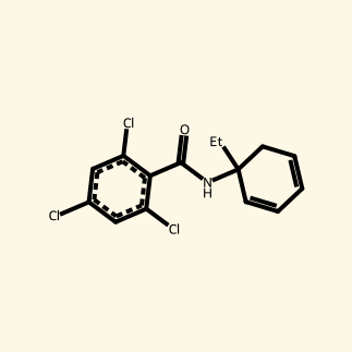 CCC1(NC(=O)c2c(Cl)cc(Cl)cc2Cl)C=CC=CC1